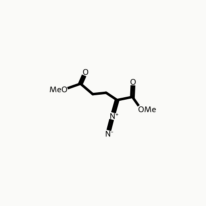 COC(=O)CCC(=[N+]=[N-])C(=O)OC